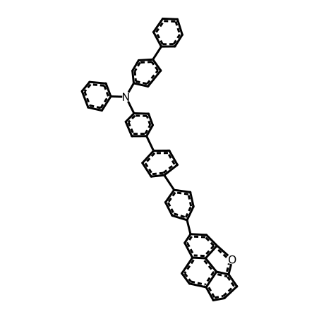 c1ccc(-c2ccc(N(c3ccccc3)c3ccc(-c4ccc(-c5ccc(-c6cc7ccc8cccc9oc(c6)c7c89)cc5)cc4)cc3)cc2)cc1